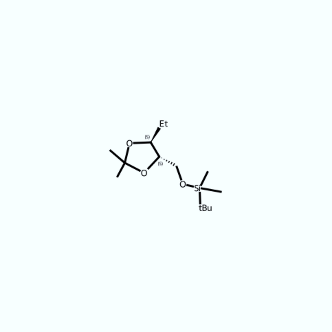 CC[C@@H]1OC(C)(C)O[C@H]1CO[Si](C)(C)C(C)(C)C